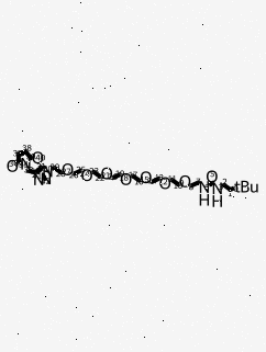 CC(C)(C)CCNC(=O)NCCOCCOCCOCCOCCOCCOCCOCCn1cc(CN2C(=O)C=CC2=O)nn1